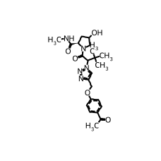 CNC(=O)[C@H]1CC(O)CN1C(=O)C(n1cc(COc2ccc(C(C)=O)cc2)nn1)C(C)(C)C